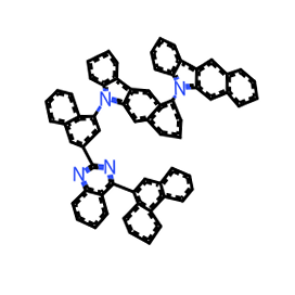 c1ccc2cc3c(cc2c1)c1ccccc1n3-c1cccc2cc3c(cc12)c1ccccc1n3-c1cc(-c2nc(-c3cc4ccccc4c4ccccc34)c3ccccc3n2)cc2ccccc12